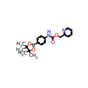 CC1(C)OB(c2ccc(NC(=O)OCc3ccccn3)cc2)OC1(C)C